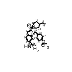 N=C(N)c1ccc2cc(C(=O)N3CCC(CF)CC3)n(Cc3ccc(OC(F)(F)F)cc3)c2c1